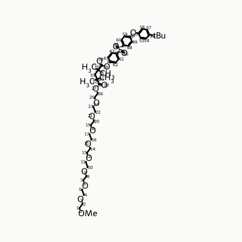 COCCOCCOCCOCCOCCOCCOCCOCCOCCOC(=O)C(C)(C)CC(C)(C)C(=O)Oc1ccc(S(=O)(=O)c2ccc(Oc3ccc(C(C)(C)C)cc3)cc2)cc1